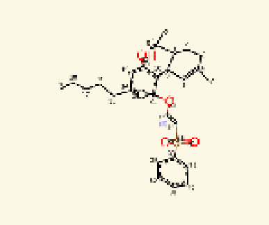 C=C(C)C1CCC(C)=C[C@H]1c1c(O)cc(CCCCC)cc1O/C=C/S(=O)(=O)c1ccccc1